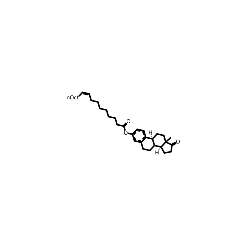 CCCCCCCC/C=C\CCCCCCCC(=O)Oc1ccc2c(c1)CCC1[C@@H]2CCC2(C)C(=O)CC[C@@H]12